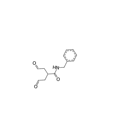 O=CCC(CC=O)C(=O)NCc1ccccc1